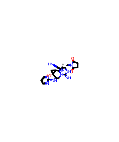 N=C1N[C@H]2[C@H](CN3C(=O)CCC3=O)NC(=N)N3CC(Nc4ncccn4)[C@@]4(O)CC4C23N1